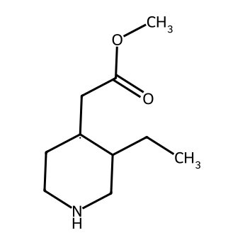 CCC1CNCC[C]1CC(=O)OC